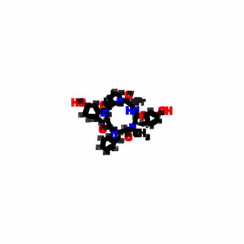 CC(C)[C@@H]1NC(=O)[C@H](Cc2ccc(O)cc2)N(C)C(=O)[C@H](Cc2ccccc2)NC(=O)[C@H](Cc2ccc(O)cc2)NC(=O)[C@@H]2CCCN2C1=O